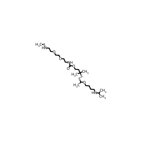 CSNCCOCCOCCNC(=O)OCCC(C)(C)SSC(C)OCCCCNC(C)C